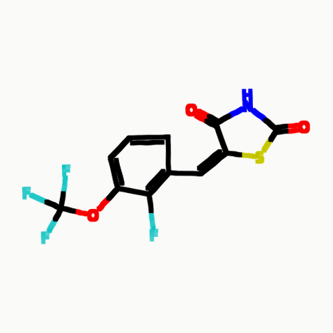 O=C1NC(=O)/C(=C\c2cccc(OC(F)(F)F)c2F)S1